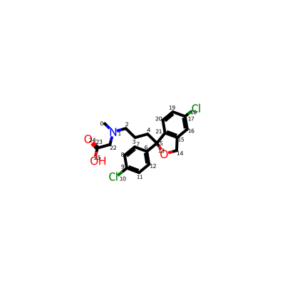 CN(CCCC1(c2ccc(Cl)cc2)OCc2cc(Cl)ccc21)CC(=O)O